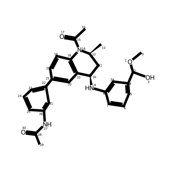 COC(O)c1cccc(N[C@@H]2C[C@H](C)N(C(C)=O)c3ccc(-c4cccc(NC(C)=O)c4)cc32)c1